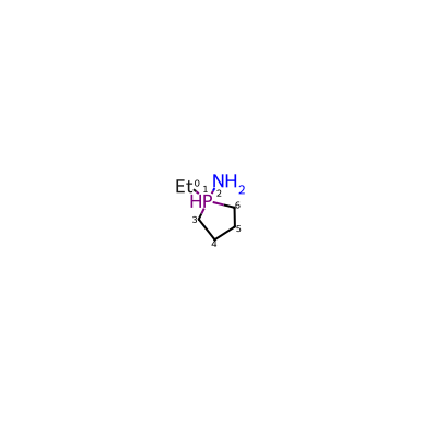 CC[PH]1(N)CCCC1